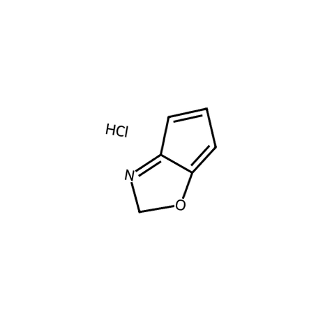 C1=CC2=NCOC2=C1.Cl